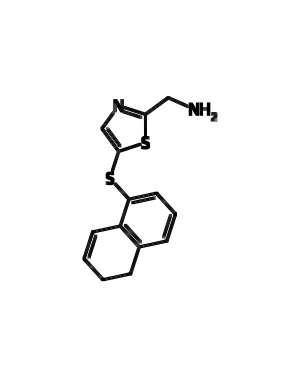 NCc1ncc(Sc2cccc3c2C=CCC3)s1